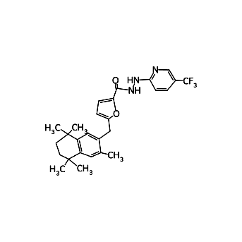 Cc1cc2c(cc1Cc1ccc(C(=O)NNc3ccc(C(F)(F)F)cn3)o1)C(C)(C)CCC2(C)C